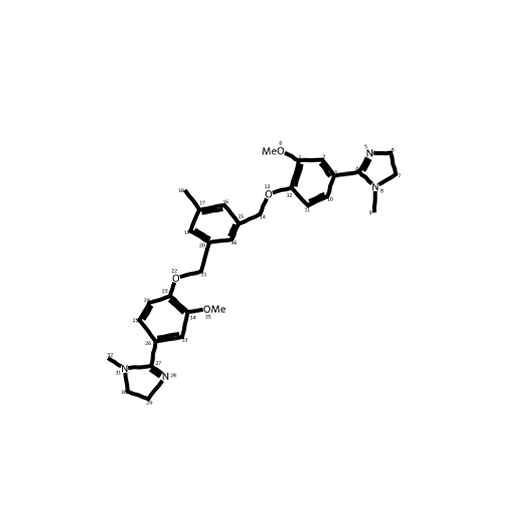 COc1cc(C2=NCCN2C)ccc1OCc1cc(C)cc(COc2ccc(C3=NCCN3C)cc2OC)c1